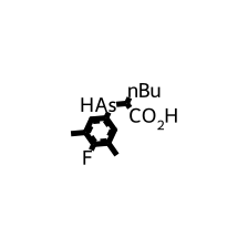 CCCCC([AsH]c1cc(C)c(F)c(C)c1)C(=O)O